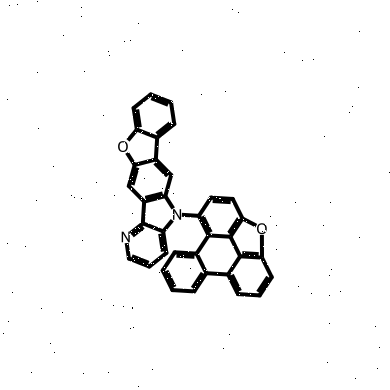 c1ccc2c(c1)oc1cc3c4ncccc4n(-c4ccc5oc6cccc7c8ccccc8c4c5c67)c3cc12